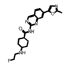 Cc1ncc(-c2ccc3cnc(NC(=O)C4CCC(NCCF)CC4)nc3c2)o1